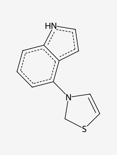 C1=CN(c2cccc3[nH]ccc23)CS1